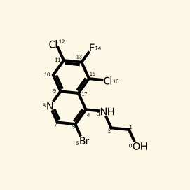 OCCNc1c(Br)cnc2cc(Cl)c(F)c(Cl)c12